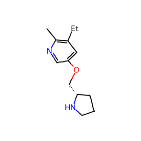 CCc1cc(OC[C@@H]2CCCN2)cnc1C